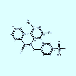 CS(=O)(=O)c1ccc(CN(C(=O)c2ccncc2)c2cc(F)cc(C#N)c2)cc1